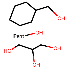 CCCC(C)O.OCC(O)CO.OCC1CCCCC1